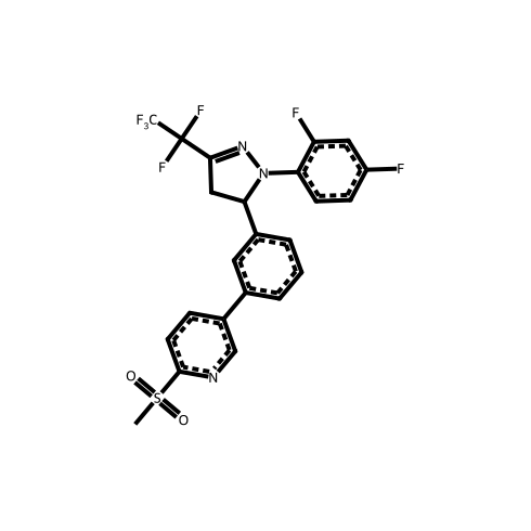 CS(=O)(=O)c1ccc(-c2cccc(C3CC(C(F)(F)C(F)(F)F)=NN3c3ccc(F)cc3F)c2)cn1